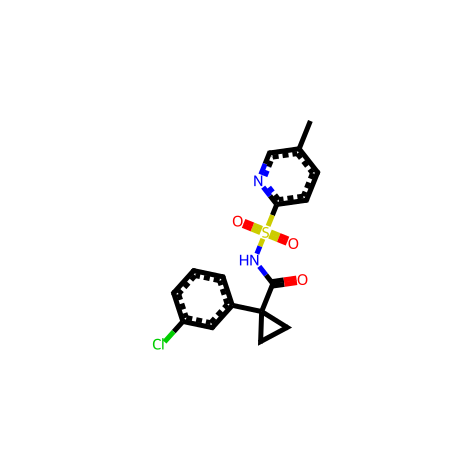 Cc1ccc(S(=O)(=O)NC(=O)C2(c3cccc(Cl)c3)CC2)nc1